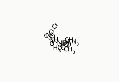 CC1(C)OCC(C)(C)C(C(=O)NCCC(=O)NC[C@@H]2CCCN2C(=O)OCc2ccccc2)O1